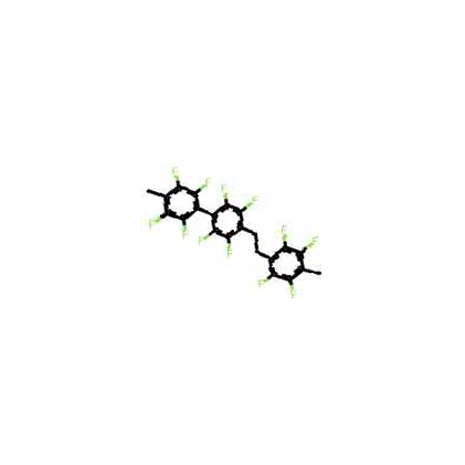 Cc1c(F)c(F)c(CCc2c(F)c(F)c(-c3c(F)c(F)c(C)c(F)c3F)c(F)c2F)c(F)c1F